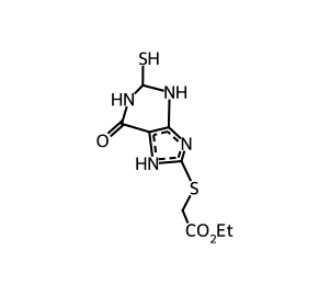 CCOC(=O)CSc1nc2c([nH]1)C(=O)NC(S)N2